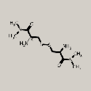 CN(C)C(=O)C(N)CSSC[C@H](N)C(=O)N(C)C